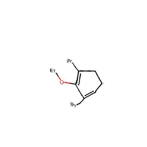 CCOC1=C(C(C)C)C[CH]C=C1C(C)C